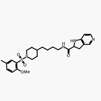 COc1ccc(C)cc1S(=O)(=O)N1CCC(CCCCNC(=O)C2Cc3cnccc3N2)CC1